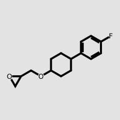 Fc1ccc(C2CCC(OCC3CO3)CC2)cc1